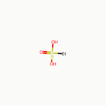 CC[SH](=O)(O)O